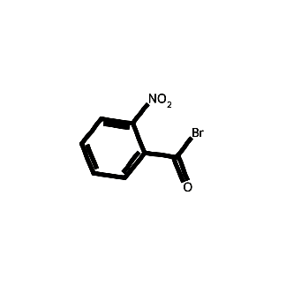 O=C(Br)c1ccccc1[N+](=O)[O-]